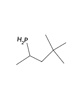 CC(P)CC(C)(C)C